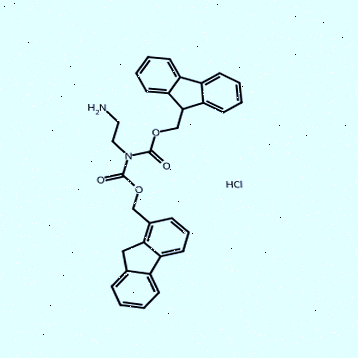 Cl.NCCN(C(=O)OCc1cccc2c1Cc1ccccc1-2)C(=O)OCC1c2ccccc2-c2ccccc21